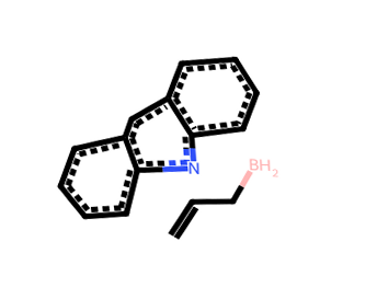 BCC=C.c1ccc2nc3ccccc3cc2c1